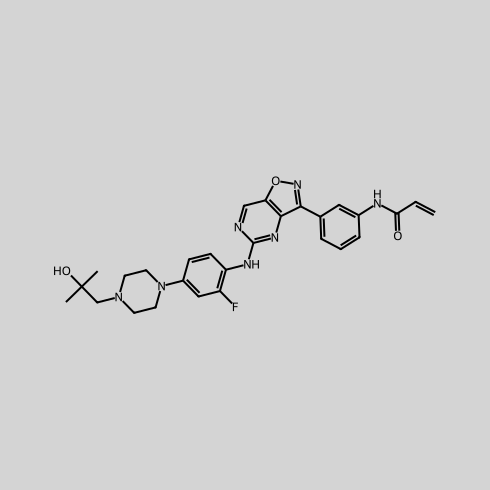 C=CC(=O)Nc1cccc(-c2noc3cnc(Nc4ccc(N5CCN(CC(C)(C)O)CC5)cc4F)nc23)c1